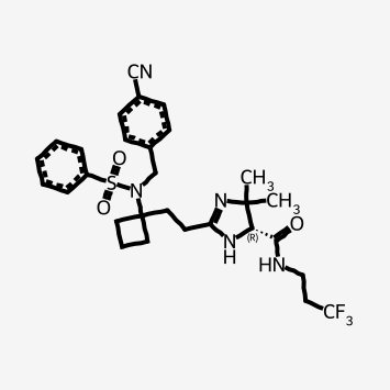 CC1(C)N=C(CCC2(N(Cc3ccc(C#N)cc3)S(=O)(=O)c3ccccc3)CCC2)N[C@H]1C(=O)NCCC(F)(F)F